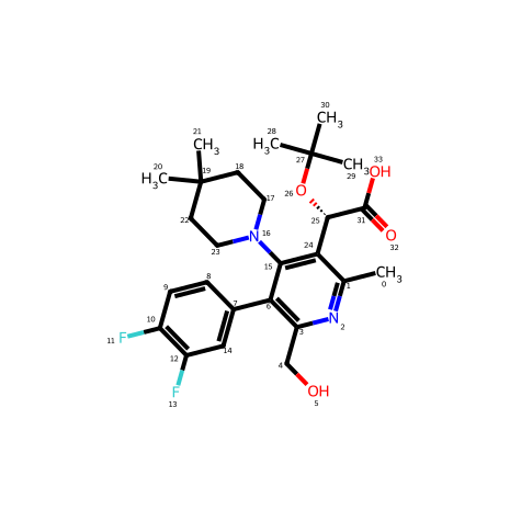 Cc1nc(CO)c(-c2ccc(F)c(F)c2)c(N2CCC(C)(C)CC2)c1[C@H](OC(C)(C)C)C(=O)O